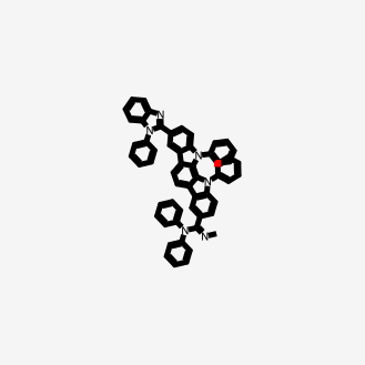 C/N=C(\c1ccc2c(c1)c1ccc3c4cc(-c5nc6ccccc6n5-c5ccccc5)ccc4n(-c4ccccc4)c3c1n2-c1ccccc1)N(c1ccccc1)c1ccccc1